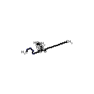 CC/C=C\C/C=C\C/C=C\C/C=C\CCCCC(=O)O[C@H](COC(=O)CCCCCCCCCCCCCCCCCCCCC)COP(=O)(O)OC[C@H](N)C(=O)O